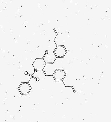 C=CCc1cccc(C=C2C(=O)CCN(S(=O)(=O)c3ccccc3)C2=Cc2cccc(CC=C)c2)c1